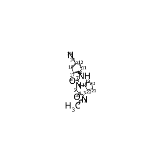 Cc1ncc(CN(C(=O)Nc2ccc(C#N)cc2)C2CCCC2)o1